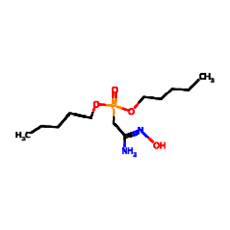 CCCCCOP(=O)(CC(N)=NO)OCCCCC